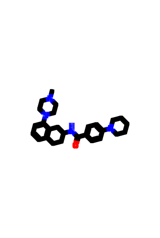 CN1CCN(c2cccc3c2CC(NC(=O)c2ccc(N4CCCCC4)cc2)CC3)CC1